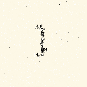 CCCCOCCOCCOCCNCSC